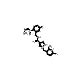 Cc1nc(F)ccc1Cn1cc(C(=O)NCc2cc(Cl)ccc2N(N)/C=N\N)cn1